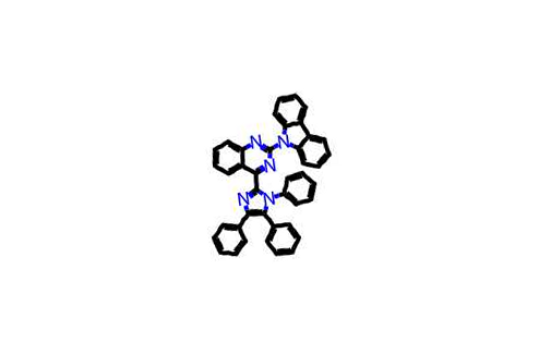 c1ccc(-c2nc(-c3nc(-n4c5ccccc5c5ccccc54)nc4ccccc34)n(-c3ccccc3)c2-c2ccccc2)cc1